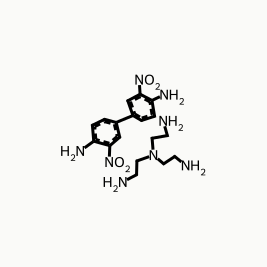 NCCN(CCN)CCN.Nc1ccc(-c2ccc(N)c([N+](=O)[O-])c2)cc1[N+](=O)[O-]